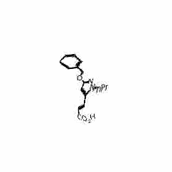 CCCn1nc(OCc2ccccc2)cc1C=CC(=O)O